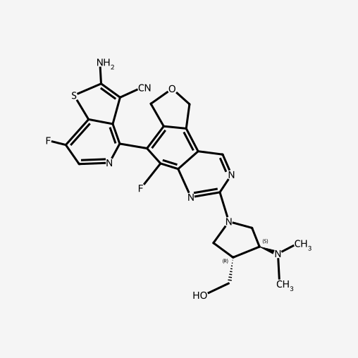 CN(C)[C@@H]1CN(c2ncc3c4c(c(-c5ncc(F)c6sc(N)c(C#N)c56)c(F)c3n2)COC4)C[C@H]1CO